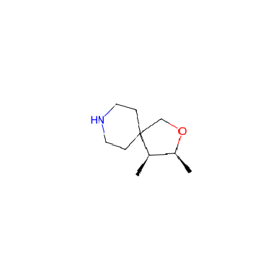 C[C@@H]1OCC2(CCNCC2)[C@@H]1C